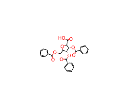 O=C(OCC1OC(C(=O)O)[C@H](OC(=O)c2ccccc2)[C@@H]1OC(=O)c1ccccc1)c1ccccc1